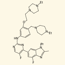 CCN1CCN(CCOc2cc(Nc3ncc(F)c(-c4cc(F)c5nc(C)n(C(C)C)c5c4)n3)ccc2CN2CCN(CC)CC2)CC1